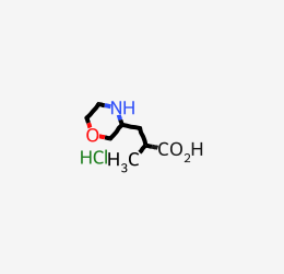 CC(CC1COCCN1)C(=O)O.Cl